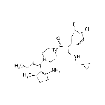 C=C/N=C(\C1=C(N)CC[C@H]1C)N1CCN(C(=O)[C@H](CNCC2CC2)c2ccc(Cl)c(F)c2)CC1